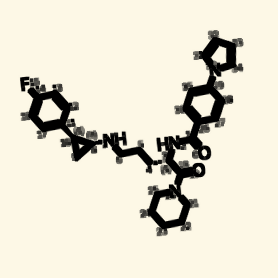 O=C(N[C@@H](CCCN[C@@H]1C[C@H]1c1ccc(F)cc1)C(=O)N1CCCCC1)c1ccc(-n2cccc2)cc1